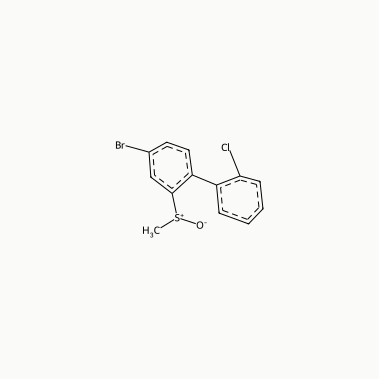 C[S+]([O-])c1cc(Br)ccc1-c1ccccc1Cl